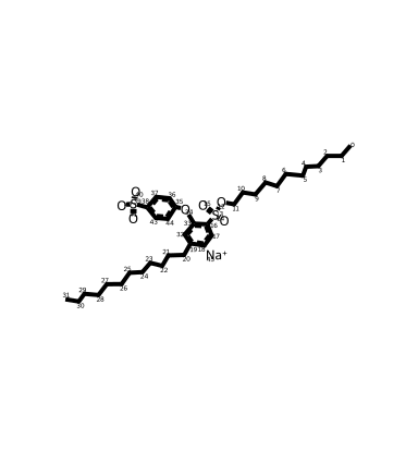 CCCCCCCCCCCCOS(=O)(=O)c1ccc(CCCCCCCCCCCC)cc1Oc1ccc(S(=O)(=O)[O-])cc1.[Na+]